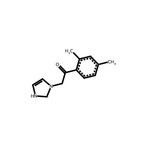 Cc1ccc(C(=O)CN2[CH]NC=C2)c(C)c1